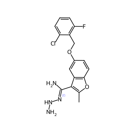 Cc1oc2ccc(OCc3c(F)cccc3Cl)cc2c1/C(N)=N/NN